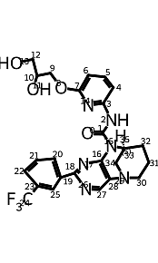 O=C(Nc1cccc(OCC(O)CO)n1)N1c2nc(-c3cccc(C(F)(F)F)c3)ncc2N2CCC[C@H]1C2